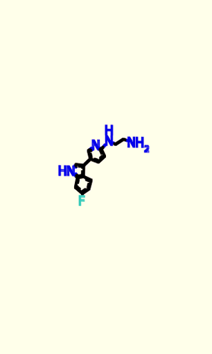 NCCNc1ccc(-c2c[nH]c3cc(F)ccc23)cn1